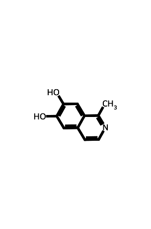 Cc1nccc2cc(O)c(O)cc12